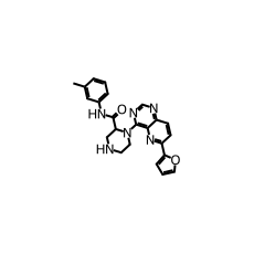 Cc1cccc(NC(=O)C2CNCCN2c2ncnc3ccc(-c4ccco4)nc23)c1